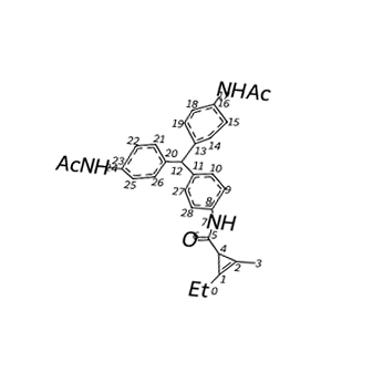 CCC1=C(C)C1C(=O)Nc1ccc(C(c2ccc(NC(C)=O)cc2)c2ccc(NC(C)=O)cc2)cc1